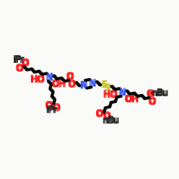 CCCCOC(=O)CCCCC(O)CN(CCCSSCCN1CCN(CCOC(=O)CCCCN(CC(O)CCCCC(=O)OC(C)C)CC(O)CCCCC(=O)OC(C)C)CC1)CC(O)CCCCC(=O)OCCCC